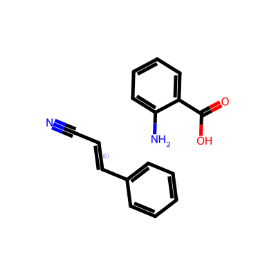 N#C/C=C/c1ccccc1.Nc1ccccc1C(=O)O